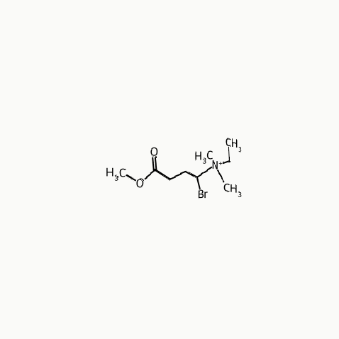 CC[N+](C)(C)C(Br)CCC(=O)OC